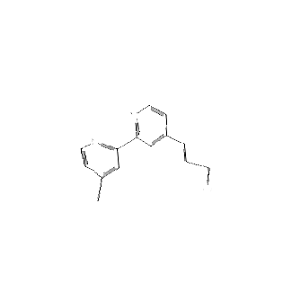 Cc1ccnc(-c2cc(CCCO)ccn2)c1